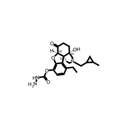 CCc1ccc(OC(=O)NN)c2c1[C@]13CCN(CC4CC4C)C[C@]1(O)CCC(=O)[C@@H]3O2